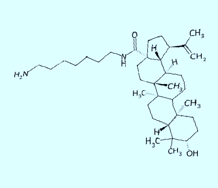 C=C(C)[C@@H]1CC[C@]2(C(=O)NCCCCCCCN)CC[C@]3(C)[C@H](CCC4[C@@]5(C)CC[C@H](O)C(C)(C)[C@@H]5CC[C@]43C)[C@@H]12